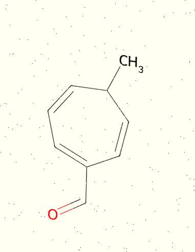 CC1C=CC=C(C=O)C=C1